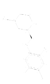 CC(=O)N1CCO[C@@H](CNc2cc(F)c(C)cc2[N+](=O)[O-])C1